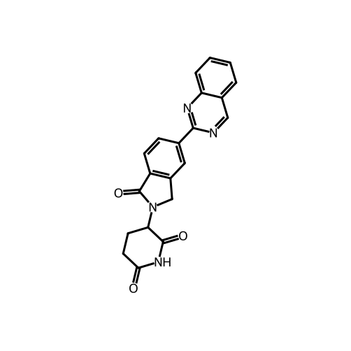 O=C1CCC(N2Cc3cc(-c4ncc5ccccc5n4)ccc3C2=O)C(=O)N1